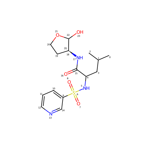 CC(C)CC(NS(=O)(=O)c1cccnc1)C(=O)N[C@H]1CCOC1O